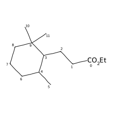 CCOC(=O)CCC1C(C)CCCC1(C)C